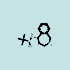 CC(C)(C)[S+]([O-])N[C@H]1CCOCc2ccccc21